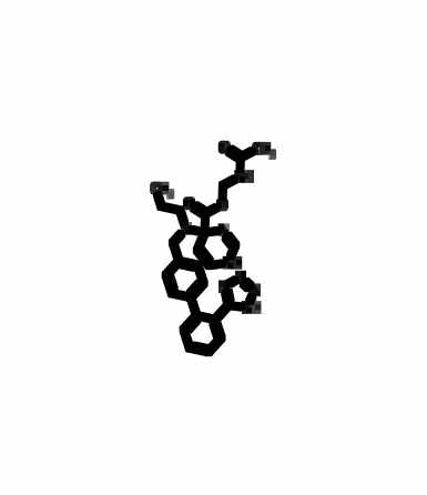 CCCN(Cc1ccc(-c2ccccc2-c2nnn[nH]2)cc1)C1(C(=O)OCNC(C)=O)C=CNC=N1